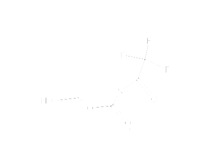 CCOC(=O)SC(=O)C(F)(F)F